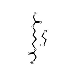 O=C(CS)OCCCCOC(=O)CS.OCCO